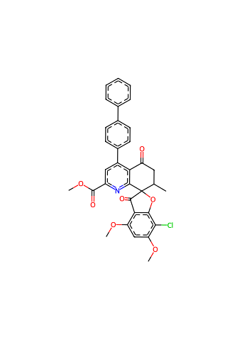 COC(=O)c1cc(-c2ccc(-c3ccccc3)cc2)c2c(n1)C1(Oc3c(Cl)c(OC)cc(OC)c3C1=O)C(C)CC2=O